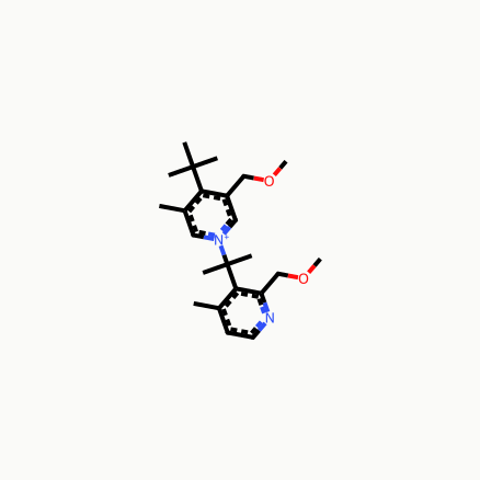 COCc1c[n+](C(C)(C)c2c(C)ccnc2COC)cc(C)c1C(C)(C)C